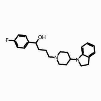 OC(CCCN1CCC(N2CCc3ccccc32)CC1)c1ccc(F)cc1